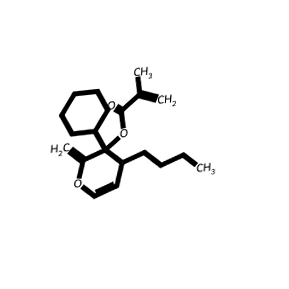 C=C(C)C(=O)OC1(C2CCCCC2)C(=C)OC=CC1CCCC